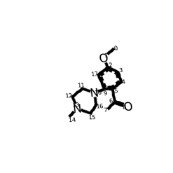 COc1ccc(C(C)=O)c(N2CCN(C)CC2)c1